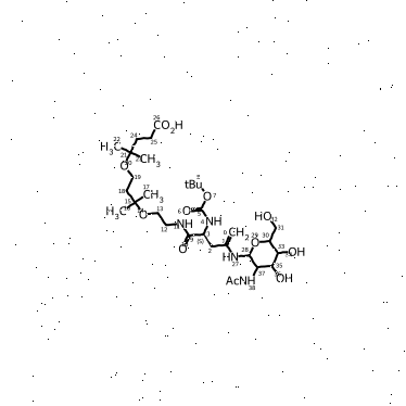 C=C(C[C@H](NC(=O)OC(C)(C)C)C(=O)NCCOC(C)(C)CCOC(C)(C)CCC(=O)O)NC1OC(CO)C(O)C(O)C1NC(C)=O